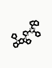 c1ccc(-c2nc(-c3cccc(-n4c5ccccc5c5cc6c7ccccc7n(-c7ccccc7)c6cc54)n3)nc(-c3cccc4ccccc34)n2)cc1